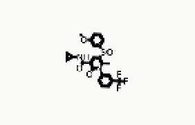 COc1cccc([S+]([O-])c2cc(C(=O)NC3CC3)c(=O)n(-c3cccc(C(F)(F)F)c3)c2C)c1